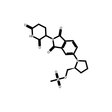 CS(=O)(=O)OC[C@@H]1CCCN1c1ccc2c(c1)C(=O)N(C1CCC(=O)NC1=O)C2=O